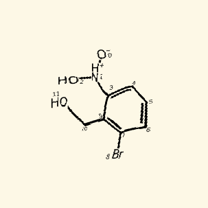 [O-][NH+](O)c1cccc(Br)c1CO